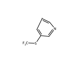 FC(F)(F)Sc1c[c]cnc1